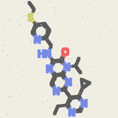 CCSc1ccc(CNc2nc3cnc(-c4c(CC)ncnc4C4CC4)nc3n(C(C)C)c2=O)nc1